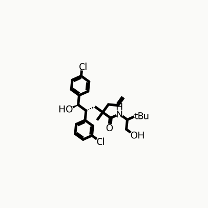 C=CCC(C)(C[C@H](c1cccc(Cl)c1)[C@@H](O)c1ccc(Cl)cc1)C(=O)NC(CO)C(C)(C)C